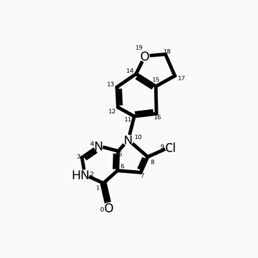 O=c1[nH]cnc2c1cc(Cl)n2-c1ccc2c(c1)CCO2